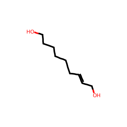 OC/C=C/CCCCCCO